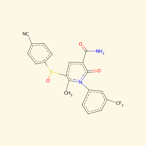 Cc1c([S+]([O-])c2ccc(C#N)cc2)cc(C(N)=O)c(=O)n1-c1cccc(C(F)(F)F)c1